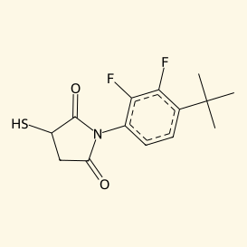 CC(C)(C)c1ccc(N2C(=O)CC(S)C2=O)c(F)c1F